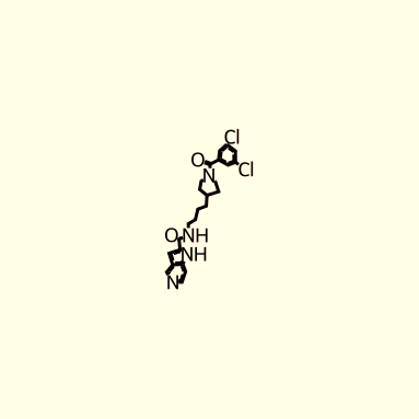 O=C(NCCCCC1CCN(C(=O)c2cc(Cl)cc(Cl)c2)CC1)c1cc2cnccc2[nH]1